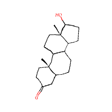 C[C@]12CCC(=O)CC1CCC1C2CC[C@]2(C)C(O)CCC12